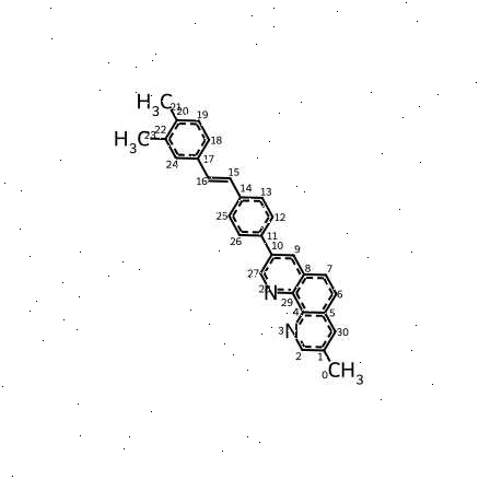 Cc1cnc2c(ccc3cc(-c4ccc(/C=C/c5ccc(C)c(C)c5)cc4)cnc32)c1